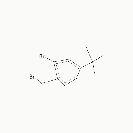 CC(C)(C)c1ccc(CBr)c(Br)c1